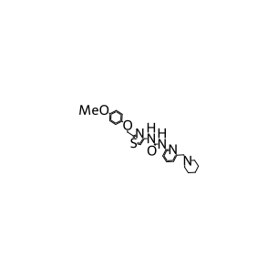 COc1ccc(OCc2nc(NC(=O)Nc3cccc(CN4CCCCC4)n3)cs2)cc1